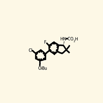 CC(C)COc1cc(Cl)cc(-c2cc3c(cc2F)[C@H](NC(=O)O)C(C)(C)C3)c1